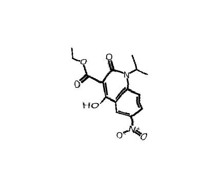 CCOC(=O)c1c(O)c2cc([N+](=O)[O-])ccc2n(C(C)C)c1=O